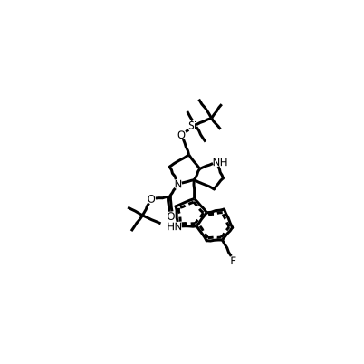 CC(C)(C)OC(=O)N1CC(O[Si](C)(C)C(C)(C)C)C2NCCC21c1c[nH]c2cc(F)ccc12